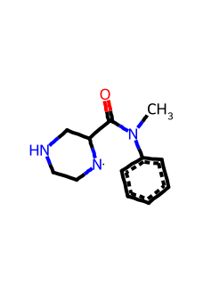 CN(C(=O)C1CNCC[N]1)c1ccccc1